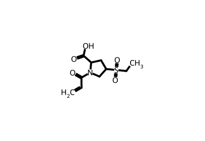 C=CC(=O)N1CC(S(=O)(=O)CC)CC1C(=O)O